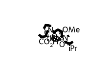 CC[C@H](C)C([C@@H](CC(=O)N1CCC[C@H]1[C@H](OC)[C@@H](C)C(=O)O)OC)N(C)C(=O)[C@@H](C)C(C)C